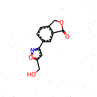 O=C1OCc2ccc(-c3cc(CO)on3)cc21